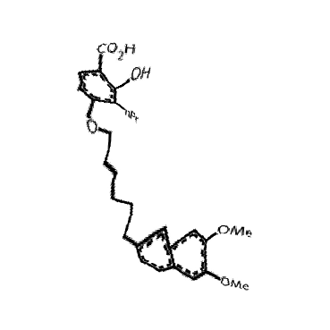 CCCc1c(OCCCCCCc2ccc3cc(OC)c(OC)cc3c2)ccc(C(=O)O)c1O